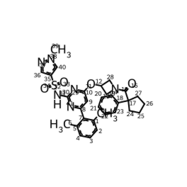 Cc1cccc(C)c1-c1cc(OC2CN(C(=O)C3(c4ccccc4)CCCC3)C2)nc(NS(=O)(=O)c2cnn(C)c2)n1